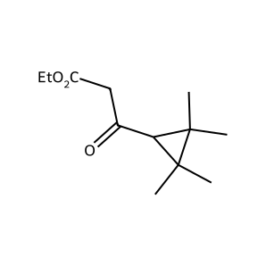 CCOC(=O)CC(=O)C1C(C)(C)C1(C)C